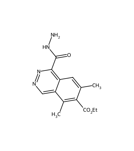 CCOC(=O)c1c(C)cc2c(C(=O)NN)nncc2c1C